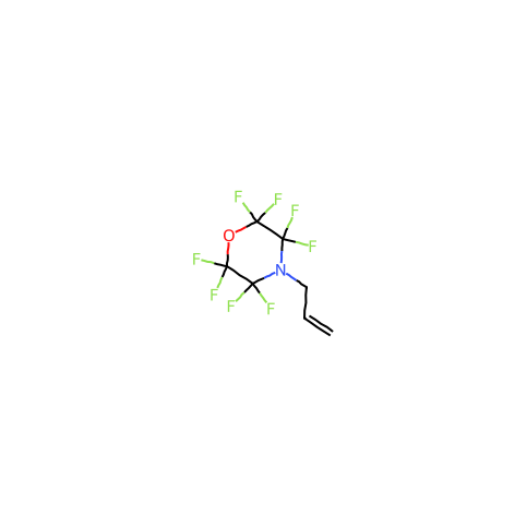 C=CCN1C(F)(F)C(F)(F)OC(F)(F)C1(F)F